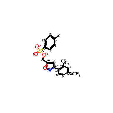 Cc1ccc(S(=O)(=O)OCc2cc(-c3ccc(C(F)(F)F)cc3C(F)(F)F)no2)cc1